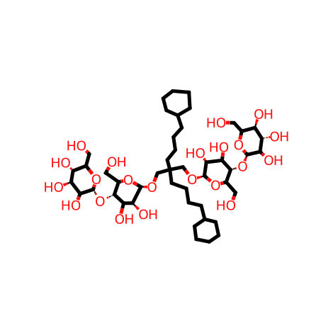 OCC1O[C@@H](OCC(CCCCC2CCCCC2)(CCCCC2CCCCC2)CO[C@@H]2OC(CO)[C@@H](O[C@H]3OC(CO)[C@@H](O)[C@H](O)C3O)C(O)[C@@H]2O)[C@@H](O)C(O)[C@@H]1O[C@H]1OC(CO)[C@@H](O)[C@H](O)C1O